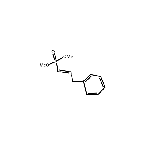 COP(=O)(N=NCc1ccccc1)OC